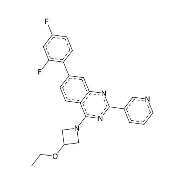 CCOC1CN(c2nc(-c3cccnc3)nc3cc(-c4ccc(F)cc4F)ccc23)C1